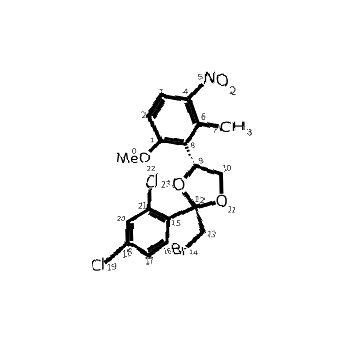 COc1ccc([N+](=O)[O-])c(C)c1[C@@H]1CO[C@](CBr)(c2ccc(Cl)cc2Cl)O1